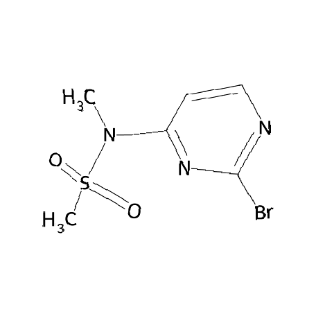 CN(c1ccnc(Br)n1)S(C)(=O)=O